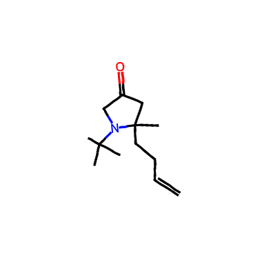 C=CCCC1(C)CC(=O)CN1C(C)(C)C